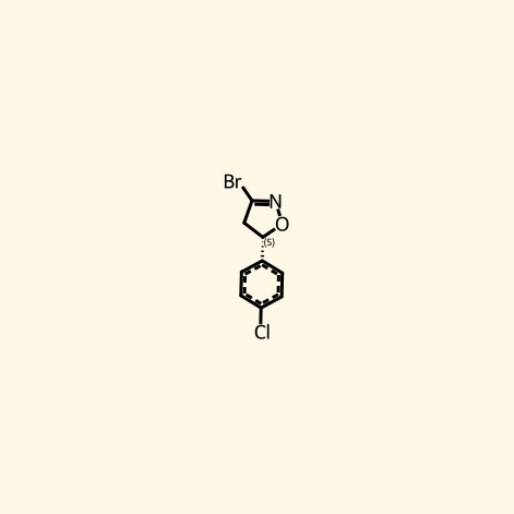 Clc1ccc([C@@H]2CC(Br)=NO2)cc1